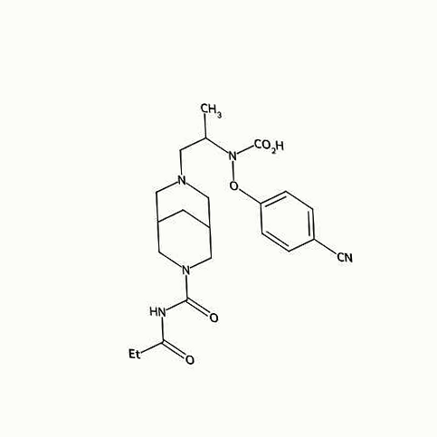 CCC(=O)NC(=O)N1CC2CC(CN(CC(C)N(Oc3ccc(C#N)cc3)C(=O)O)C2)C1